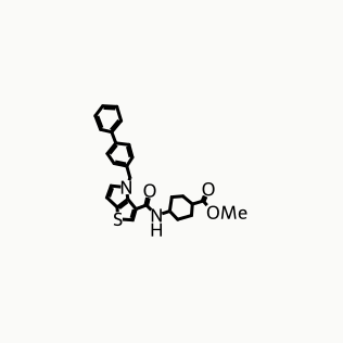 COC(=O)C1CCC(NC(=O)c2csc3ccn(Cc4ccc(-c5ccccc5)cc4)c23)CC1